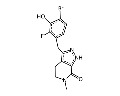 CN1CCc2c(Cc3ccc(Br)c(O)c3F)n[nH]c2C1=O